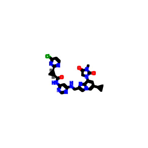 CN1C(=O)CN(c2cc(C3CC3)cn3cc(CNc4cc(NC(=O)[C@H]5C[C@@H]5c5nccc(Cl)n5)ncn4)nc23)C1=O